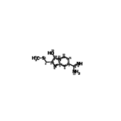 CSCc1nc2cc(C(=N)N)ccn2c1O